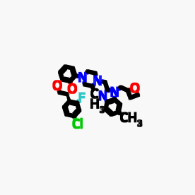 Cc1ccc2nc(CN3CCN(c4cccc5c4O[C@@H](c4ccc(Cl)cc4F)CO5)CC3C)n(CC3CCO3)c2c1